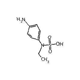 CCN(c1ccc(N)cc1)S(=O)(=O)O